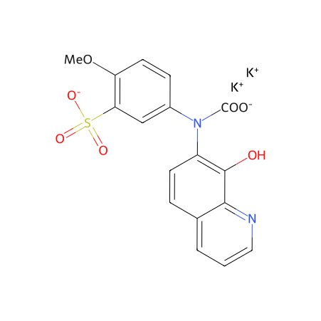 COc1ccc(N(C(=O)[O-])c2ccc3cccnc3c2O)cc1S(=O)(=O)[O-].[K+].[K+]